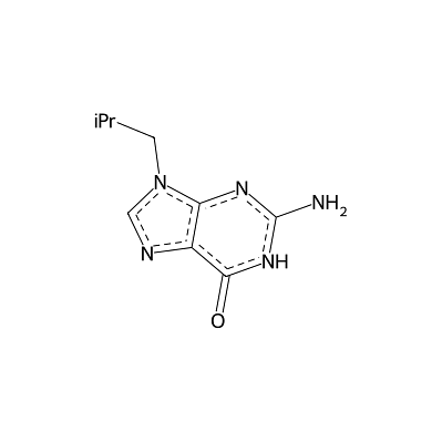 CC(C)Cn1cnc2c(=O)[nH]c(N)nc21